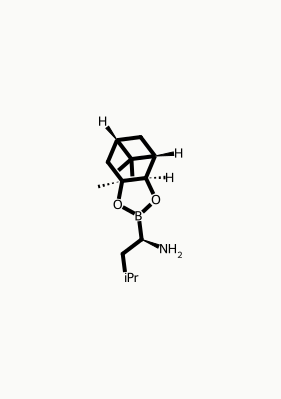 CC(C)C[C@H](N)B1O[C@@H]2[C@H]3C[C@@H](C[C@]2(C)O1)C3(C)C